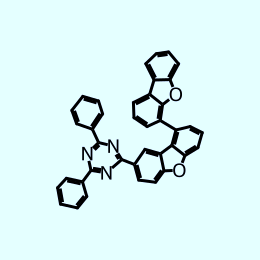 c1ccc(-c2nc(-c3ccccc3)nc(-c3ccc4oc5cccc(-c6cccc7c6oc6ccccc67)c5c4c3)n2)cc1